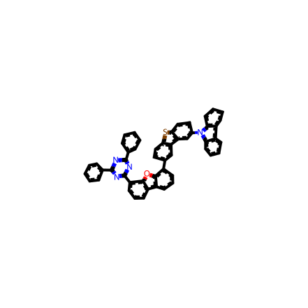 c1ccc(-c2nc(-c3ccccc3)nc(-c3cccc4c3oc3c(-c5ccc6sc7ccc(-n8c9ccccc9c9ccccc98)cc7c6c5)cccc34)n2)cc1